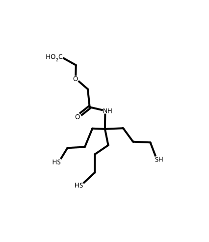 O=C(O)COCC(=O)NC(CCCS)(CCCS)CCCS